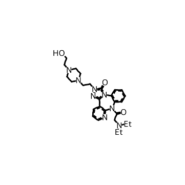 CCN(CC)CC(=O)N1c2ccccc2-n2c(nn(CCN3CCN(CCO)CC3)c2=O)-c2cccnc21